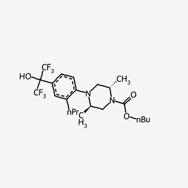 CCCCOC(=O)N1C[C@@H](C)N(c2ccc(C(O)(C(F)(F)F)C(F)(F)F)cc2CCC)C[C@@H]1C